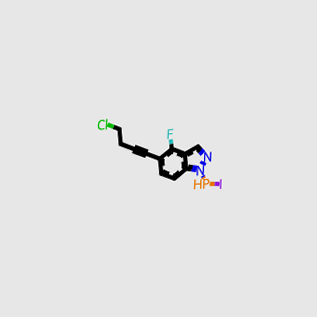 Fc1c(C#CCCCl)ccc2c1cnn2PI